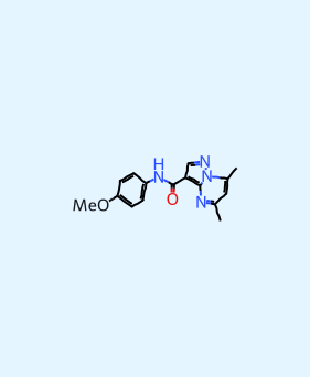 COc1ccc(NC(=O)c2cnn3c(C)cc(C)nc23)cc1